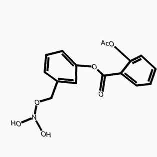 CC(=O)Oc1ccccc1C(=O)Oc1cccc(CON(O)O)c1